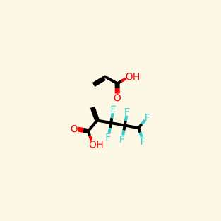 C=C(C(=O)O)C(F)(F)C(F)(F)C(F)F.C=CC(=O)O